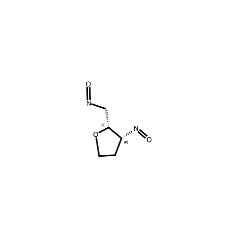 O=NC[C@H]1OCC[C@H]1N=O